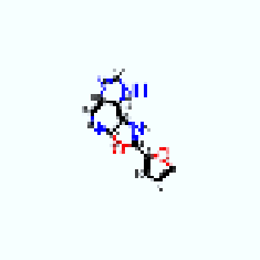 c1coc(-c2nc3c(ncc4nc[nH]c43)o2)c1